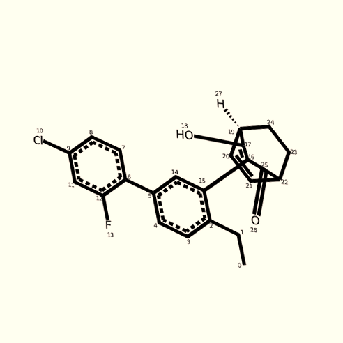 CCc1ccc(-c2ccc(Cl)cc2F)cc1C1=C(O)[C@H]2C=CC(CC2)C1=O